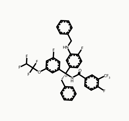 O=C(N[C@@](Cc1ccccc1)(c1cc(F)cc(OC(F)(F)C(F)F)c1)c1ccc(F)c(NCc2ccccc2)c1)c1ccc(F)c(C(F)(F)F)c1